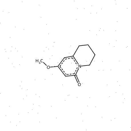 COc1cc2n(c(=O)c1)CCCC2